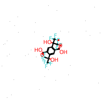 O=C(O)c1cc(C(O)(C(F)(F)F)C(F)(F)F)c(C(=O)O)cc1C(O)(C(F)(F)F)C(F)(F)F